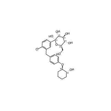 OC[C@H]1O[C@@](O)(c2ccc(Cl)c(Cc3ccc(O[C@@H]4CCCC[C@H]4O)cc3)c2)[C@H](O)[C@@H](O)[C@@H]1O